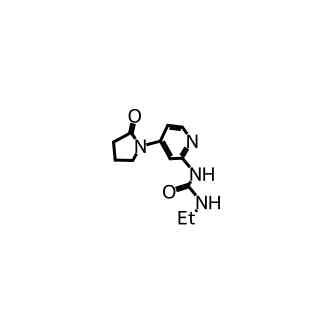 CCNC(=O)Nc1cc(N2CCCC2=O)ccn1